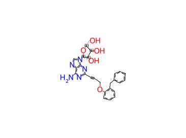 Nc1nc(C#CCOc2ccccc2Cc2ccccc2)nc2c1ncn2[C@@H]1O[C@H](CO)[C@@H](O)[C@H]1O